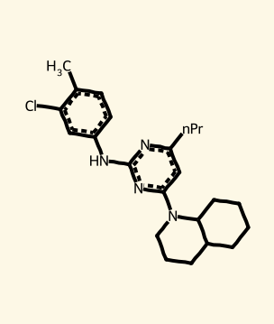 CCCc1cc(N2CCCC3CCCCC32)nc(Nc2ccc(C)c(Cl)c2)n1